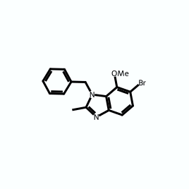 COc1c(Br)ccc2nc(C)n(Cc3ccccc3)c12